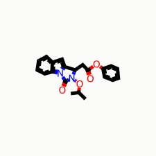 CC(C)ON1C(=O)n2c(cc3ccccc32)C1CC(=O)Oc1ccccc1